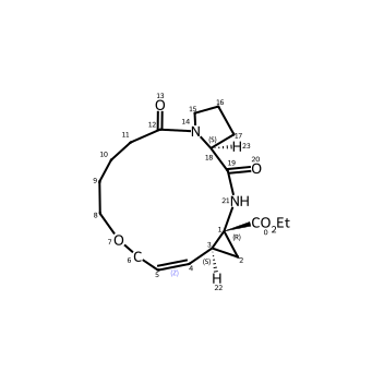 CCOC(=O)[C@@]12C[C@H]1/C=C\COCCCCC(=O)N1CCC[C@H]1C(=O)N2